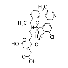 Cc1cnccc1-c1cccc(C(C)N(CCCC(=O)N(CC(=O)O)CC(=O)O)S(=O)(=O)c2cccc(Cl)c2C)c1